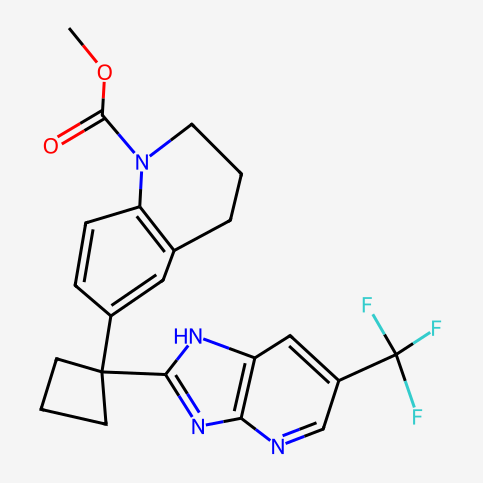 COC(=O)N1CCCc2cc(C3(c4nc5ncc(C(F)(F)F)cc5[nH]4)CCC3)ccc21